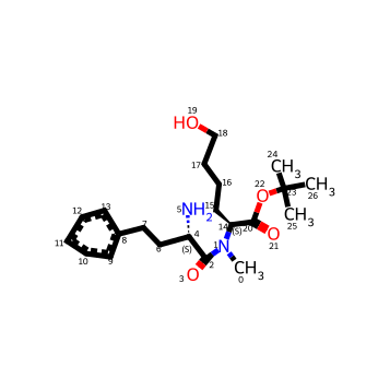 CN(C(=O)[C@@H](N)CCc1ccccc1)[C@@H](CCCCO)C(=O)OC(C)(C)C